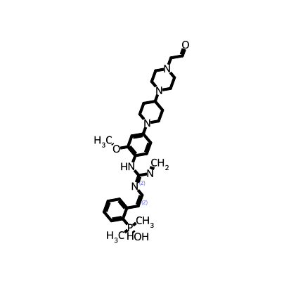 C=N/C(=N\C=C/c1ccccc1[PH](C)(C)O)Nc1ccc(N2CCC(N3CCN(CC=O)CC3)CC2)cc1OC